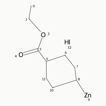 CCOC(=O)C1CC[CH]([Zn])CC1.I